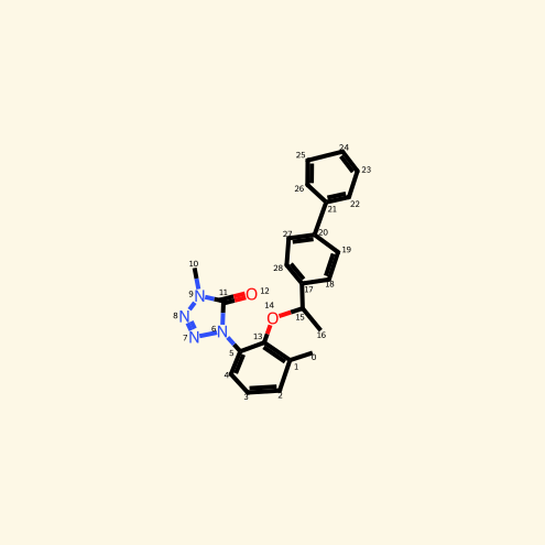 Cc1cccc(-n2nnn(C)c2=O)c1OC(C)c1ccc(-c2ccccc2)cc1